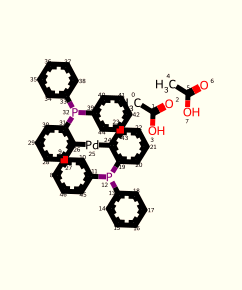 CC(=O)O.CC(=O)O.c1ccc(P(c2ccccc2)c2cccc[c]2[Pd][c]2ccccc2P(c2ccccc2)c2ccccc2)cc1